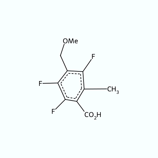 COCc1c(F)c(C)c(C(=O)O)c(F)c1F